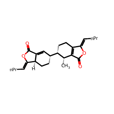 CCC/C=C1\OC(=O)C2=C1CC[C@@H]([C@H]1C=C3C(=O)O/C(=C\CCC)[C@@H]3CC1)[C@H]2C